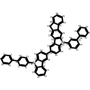 c1ccc(-c2ccc(-n3c4ccccc4c4cc(-c5ccc6c(c5)c5cc7c(cc5n6-c5cccc(-c6ccccc6)c5)-c5ccccc5C7)ccc43)cc2)cc1